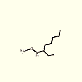 CCCCCC(BON)CC